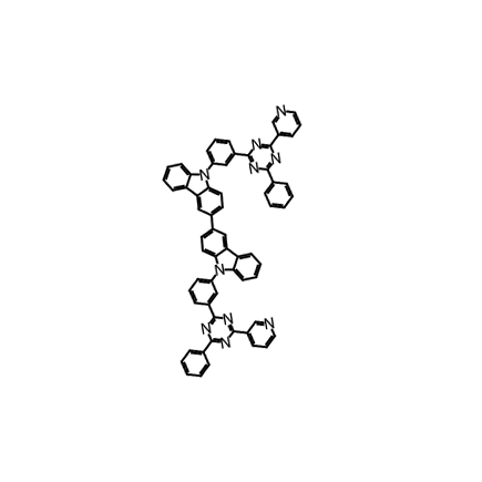 c1ccc(-c2nc(-c3cccnc3)nc(-c3cccc(-n4c5ccccc5c5cc(-c6ccc7c(c6)c6ccccc6n7-c6cccc(-c7nc(-c8ccccc8)nc(-c8cccnc8)n7)c6)ccc54)c3)n2)cc1